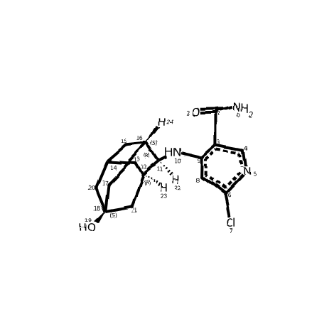 NC(=O)c1cnc(Cl)cc1N[C@H]1[C@@H]2CC3C[C@H]1C[C@@](O)(C3)C2